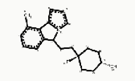 Cc1cccc2c1-c1cncn1C2CC[C@]1(F)CC[C@H](O)CC1